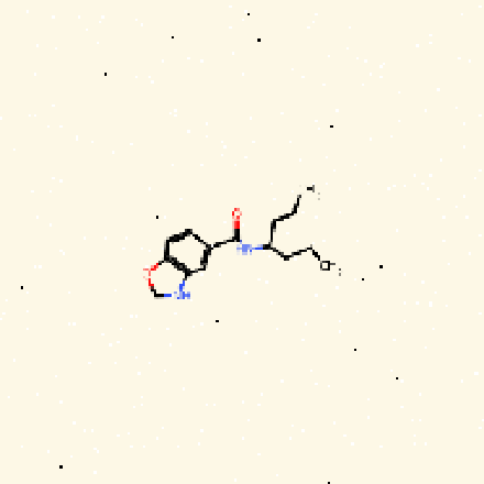 CCCC(CCC)NC(=O)c1ccc2c(c1)NCO2